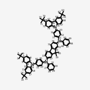 CC(C)(C)c1ccc2c(c1)c1cc(C(C)(C)C)ccc1n2-c1ccc(N(c2ccccc2)c2ccc3c(c2)C(C)(C)c2cc(N(c4ccccc4)c4ccc(-n5c6ccc(C(C)(C)C)cc6c6cc(C(C)(C)C)ccc65)cc4)ccc2-3)cc1